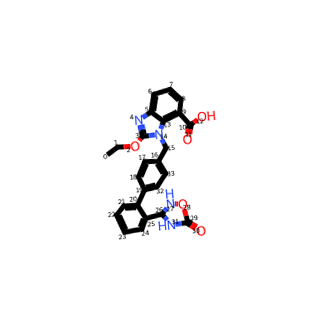 CCOc1nc2cccc(C(=O)O)c2n1Cc1ccc(-c2ccccc2C2NOC(=O)N2)cc1